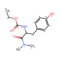 CN(C#N)C(=O)C(Cc1ccc(O)cc1)NC(=O)OCC#N